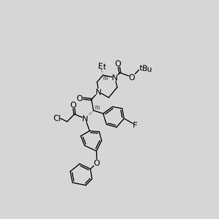 CC[C@H]1CN(C(=O)[C@H](c2ccc(F)cc2)N(C(=O)CCl)c2ccc(Oc3ccccc3)cc2)CCN1C(=O)OC(C)(C)C